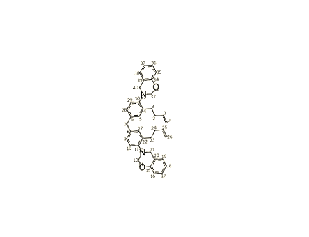 C=CCCc1cc(Cc2ccc(N3COc4ccccc4C3)c(CCC=C)c2)ccc1N1COc2ccccc2C1